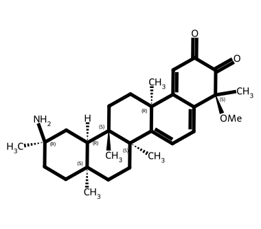 CO[C@]1(C)C(=O)C(=O)C=C2C1=CC=C1[C@@]2(C)CC[C@@]2(C)[C@@H]3C[C@](C)(N)CC[C@]3(C)CC[C@]12C